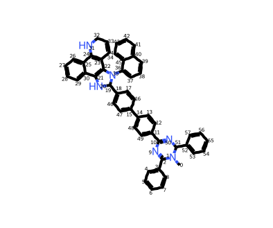 CN1C(c2ccccc2)=NC(c2ccc(-c3ccc(C4Nc5c(c6c(c7ccccc57)NCC=C6)N4c4cccc5ccccc45)cc3)cc2)=NC1c1ccccc1